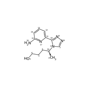 C[C@@H](CCCO)n1cnnc1-c1cccc(N)n1